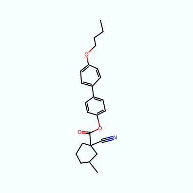 CCCCOc1ccc(-c2ccc(OC(=O)C3(C#N)CCCC(C)C3)cc2)cc1